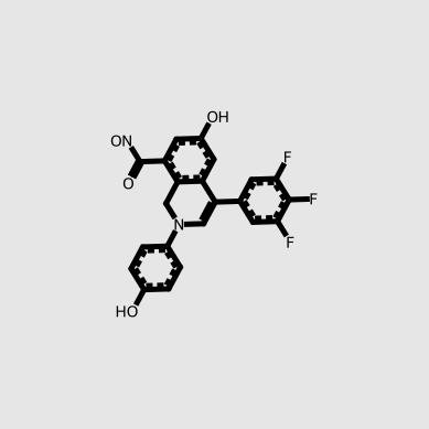 O=NC(=O)c1cc(O)cc2c1CN(c1ccc(O)cc1)C=C2c1cc(F)c(F)c(F)c1